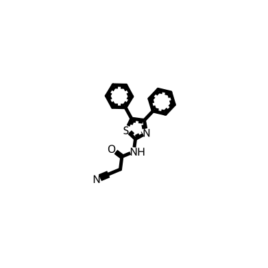 N#CCC(=O)Nc1nc(-c2ccccc2)c(-c2ccccc2)s1